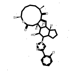 CC[C@H]1CCCC[C@@H](C)C(=O)C2=CC3[C@@H]4CCCC4C(n4cc(-c5ccccc5Cl)nn4)C(O)[C@H]3[C@@H]2CC(=O)O1